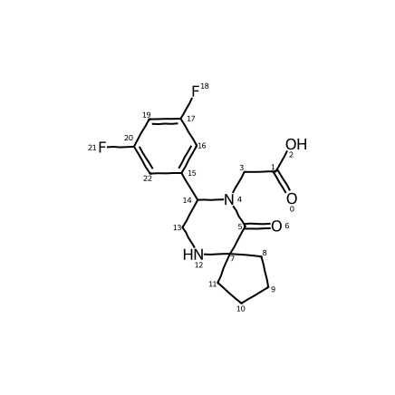 O=C(O)CN1C(=O)C2(CCCC2)NCC1c1cc(F)cc(F)c1